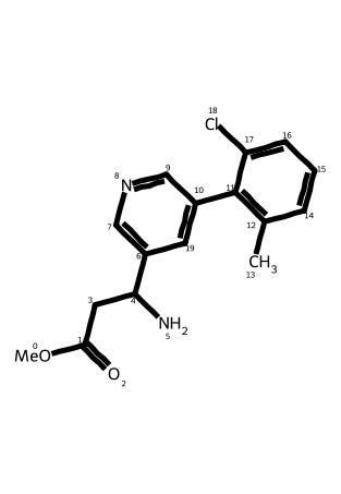 COC(=O)CC(N)c1cncc(-c2c(C)cccc2Cl)c1